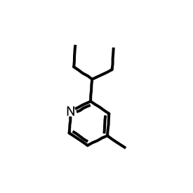 CCC(CC)c1cc(C)ccn1